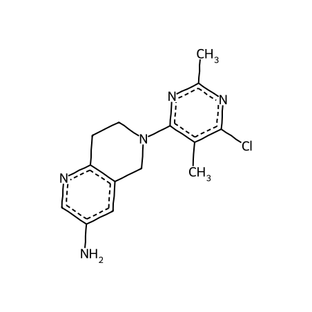 Cc1nc(Cl)c(C)c(N2CCc3ncc(N)cc3C2)n1